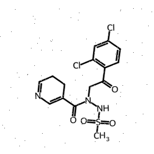 CS(=O)(=O)NN(CC(=O)c1ccc(Cl)cc1Cl)C(=O)C1=CN=CCC1